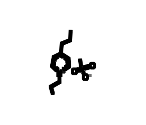 CCCc1cc[n+](CCC)cc1.CS(=O)(=O)[O-]